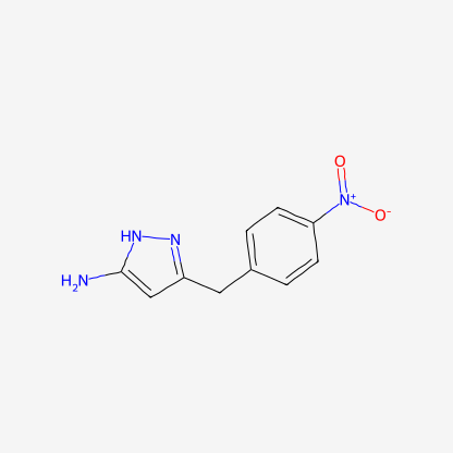 Nc1cc(Cc2ccc([N+](=O)[O-])cc2)n[nH]1